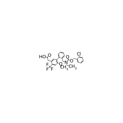 CCN(Cc1ccccc1-c1cc(CC(=O)O)c(C(F)(F)F)cc1OC)C(=O)OCc1ccccc1Cl